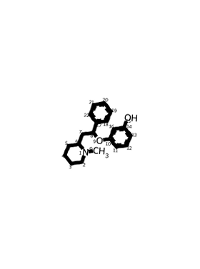 CN1CCCCC1CC(Oc1cccc(O)c1)c1ccccc1